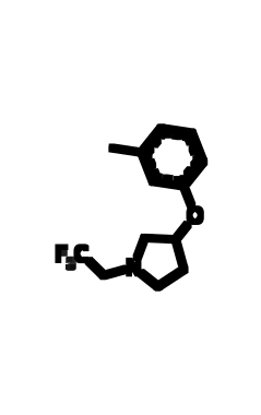 Cc1cccc(OC2CCN(CC(F)(F)F)C2)c1